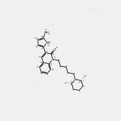 C[C@@H]1CCC[C@H](C)N1CCCCCn1c(=O)c(-c2cnc(N)[nH]2)cc2ccccc21